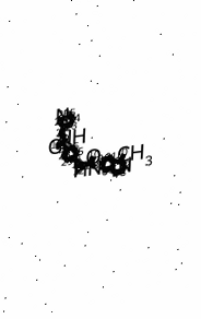 Cc1nccc2cc(NC(=O)C3CC3c3ccc(C(=O)NCc4cccnc4)cc3)ccc12